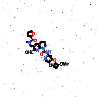 CO[C@@H]1CC[C@H]1Oc1cc(NC(=O)N2CCCc3cc(CN(C)C(=O)[C@H]4CCCO4)c(C=O)nc32)ncc1C#N